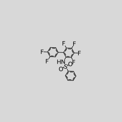 O=S(=O)(Nc1c(F)c(F)c(F)c(F)c1-c1ccc(F)c(F)c1)c1ccccc1